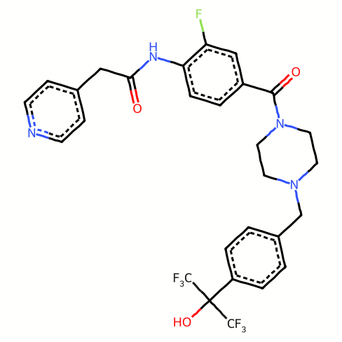 O=C(Cc1ccncc1)Nc1ccc(C(=O)N2CCN(Cc3ccc(C(O)(C(F)(F)F)C(F)(F)F)cc3)CC2)cc1F